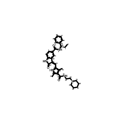 CC[C@@H](NC(=O)c1ccc2c(c1)C(=Cc1[nH]c(C)c(C(=O)NCCN3CCCCC3)c1C)C(=O)N2)c1ccccc1